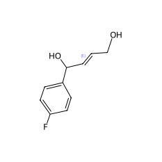 OC/C=C/C(O)c1ccc(F)cc1